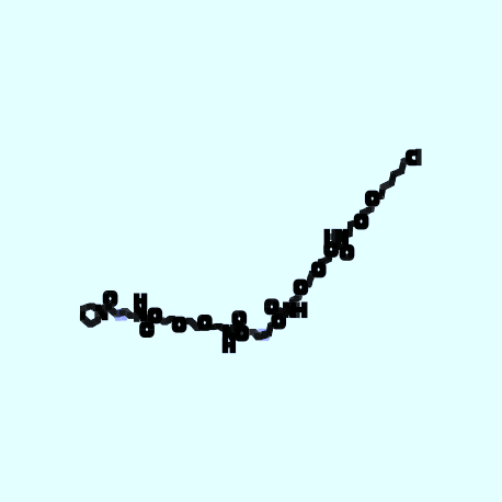 O=C(NCCOCCOCCOC(=O)NC/C=C/C(=O)N1CCCCC1)OC/C=C\COC(=O)NCCOCCOCCOC(=O)NCCOCCOCCCCCCCl